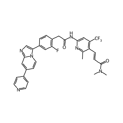 Cc1nc(NC(=O)Cc2ccc(-c3cnc4cc(-c5ccncc5)ccn34)cc2F)cc(C(F)(F)F)c1C=CC(=O)N(C)C